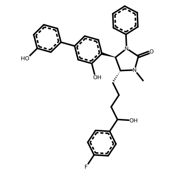 CN1C(=O)N(c2ccccc2)[C@H](c2ccc(-c3cccc(O)c3)cc2O)[C@H]1CCCC(O)c1ccc(F)cc1